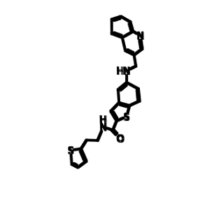 O=C(NCCc1cccs1)c1cc2cc(NCc3cnc4ccccc4c3)ccc2s1